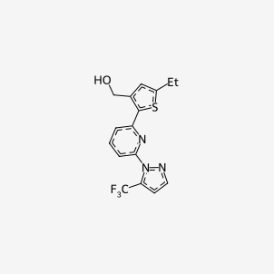 CCc1cc(CO)c(-c2cccc(-n3nccc3C(F)(F)F)n2)s1